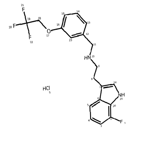 Cl.Fc1cccc2c(CCNCc3cccc(OCC(F)(F)F)c3)c[nH]c12